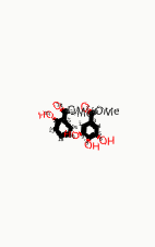 COC(=O)c1cc(O)c(O)c(O)c1.COC(=O)c1ccccc1O